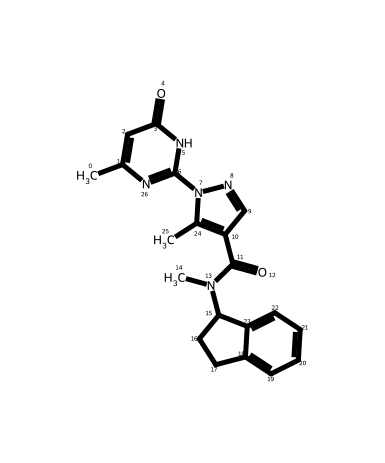 Cc1cc(=O)[nH]c(-n2ncc(C(=O)N(C)C3CCc4ccccc43)c2C)n1